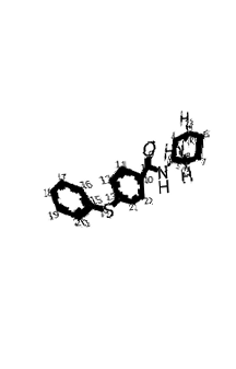 O=C(N[C@@H]1C[C@H]2CC[C@@H]1N2)c1ccc(Sc2ccccc2)cc1